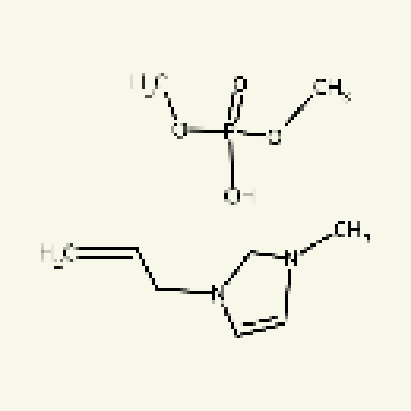 C=CCN1C=CN(C)C1.COP(=O)(O)OC